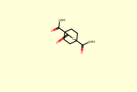 COC(=O)C12CCC(C(=O)OC)(CC1)C(=O)C2